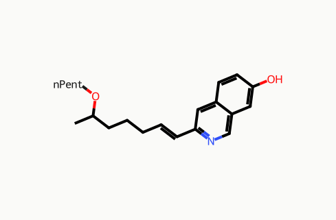 CCCCCOC(C)CCCC=Cc1cc2ccc(O)cc2cn1